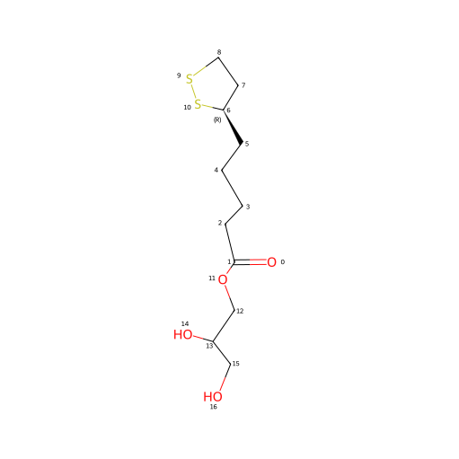 O=C(CCCC[C@@H]1CCSS1)OCC(O)CO